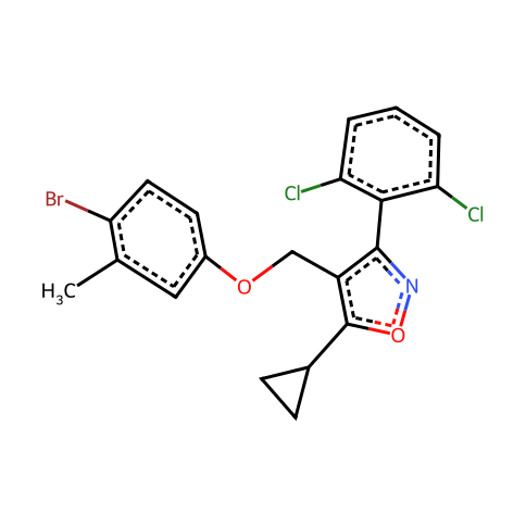 Cc1cc(OCc2c(-c3c(Cl)cccc3Cl)noc2C2CC2)ccc1Br